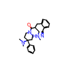 CNCC(Cc1ccccc1C#N)C(=O)N1CCC(c2ccccc2)(N(C)C)CC1